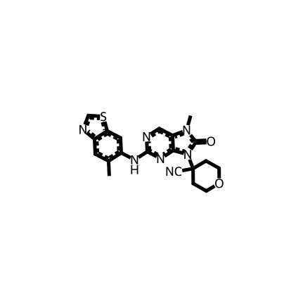 Cc1cc2ncsc2cc1Nc1ncc2c(n1)n(C1(C#N)CCOCC1)c(=O)n2C